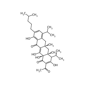 CC(=O)C1=C(O)C(C(C)C)[C@@]2(C)C[C@@]3(C)Cc4c(C(C)C)cc(CCCC(C)C)c(O)c4C(=O)C3=C(O)[C@@]2(O)C1=O